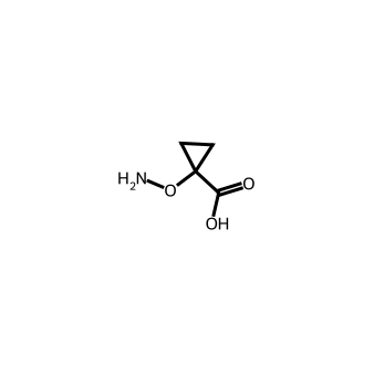 NOC1(C(=O)O)CC1